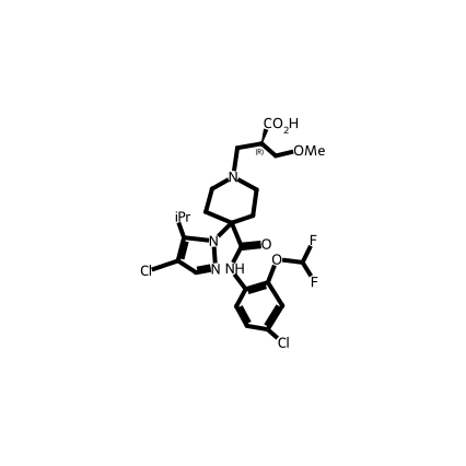 COC[C@@H](CN1CCC(C(=O)Nc2ccc(Cl)cc2OC(F)F)(n2ncc(Cl)c2C(C)C)CC1)C(=O)O